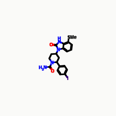 CSc1cccc2c1[nH]c(=O)n2C1CCN(C(N)=O)C(c2ccc(I)cc2)C1